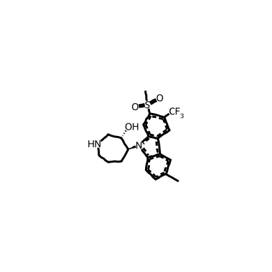 Cc1ccc2c(c1)c1cc(C(F)(F)F)c(S(C)(=O)=O)cc1n2[C@H]1CCCNC[C@@H]1O